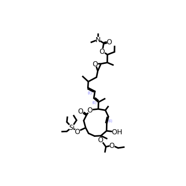 CCOC(C)OC1(C)CCC(O[Si](CC)(CC)CC)CC(=O)OC(/C(C)=C/C=C/C(C)CC2OC2C(C)C(CC)OC(=O)N(C)C)C(C)/C=C/C1O